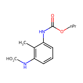 CCCOC(=O)Nc1cccc(NC(=O)O)c1C